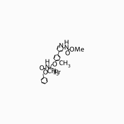 COC(=O)Nc1cc(-c2ccc(OCC(C)(CC(C)C)NC(=O)OCc3ccccc3)c(C)c2)ccn1